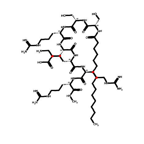 CCCCCCCCCCCCCCCC(=O)N[C@@H](CO)C(=O)N[C@@H](CO)C(=O)N[C@@H](CCCNC(=N)N)C(=O)N[C@@H](CCC(=O)O)C(=O)N[C@@H](CCCCN)C(=O)N[C@@H](CCCNC(=N)N)C(=O)N[C@@H](CCCNC(=N)N)C(=O)NC